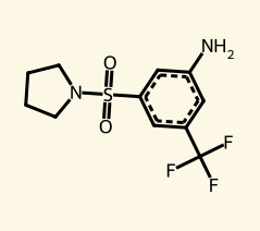 Nc1cc(C(F)(F)F)cc(S(=O)(=O)N2CCCC2)c1